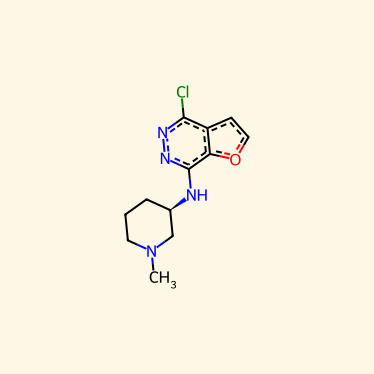 CN1CCC[C@@H](Nc2nnc(Cl)c3ccoc23)C1